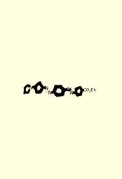 CCOC(=O)c1ccc(/N=N/c2ccc(/N=N/c3ccc(N4CCCC4)cc3)cc2)cc1